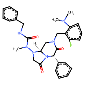 CN(C)c1cccc(F)c1CN1C[C@H]2N(C(=O)CN2N(C)C(=O)NCc2ccccc2)[C@@H](c2ccccc2)C1=O